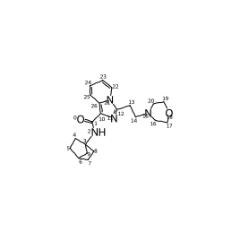 O=C(NC12CCC(CC1)C2)c1nc(CCN2CCOCC2)n2ccccc12